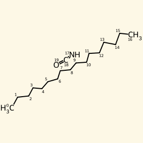 CCCCCCCCCCCCCCCCC.N=C=O